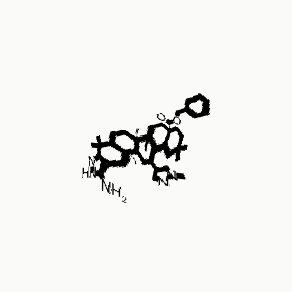 Cn1cc(C2=C3C4CC(C)(C)CC[C@]4(C(=O)OCc4ccccc4)CC[C@@]3(C)[C@]3(C)CCC4C(C)(C)c5n[nH]c(N)c5C[C@]4(C)C3C2)cn1